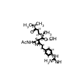 CC(=O)Nc1nc(CCc2ccc(NC(=N)N)cc2)c(C(=O)N(C)CCC(=O)N(C)C)s1.Cl